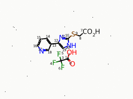 O=C(O)C(F)(F)F.O=C(O)CSc1nc(-c2cccnc2)c[nH]1